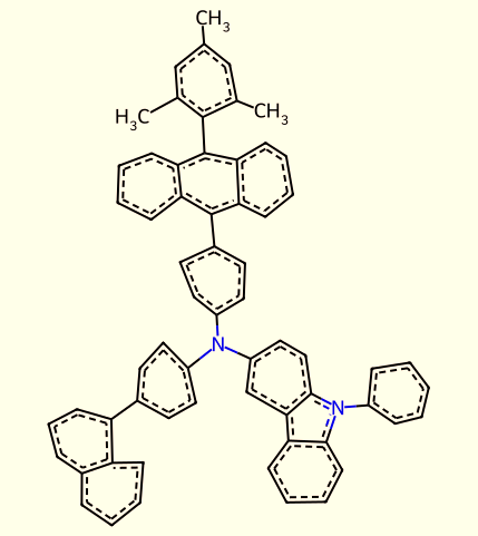 Cc1cc(C)c(-c2c3ccccc3c(-c3ccc(N(c4ccc(-c5cccc6ccccc56)cc4)c4ccc5c(c4)c4ccccc4n5-c4ccccc4)cc3)c3ccccc23)c(C)c1